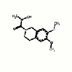 COc1cc2c(cc1OC)CN(C(=O)N(C)O)CC2